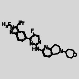 CC(C)c1c2cc(-c3nc(Nc4ccc5c(n4)CCN(C4CCOCC4)C5)ncc3F)ccc2nn1C